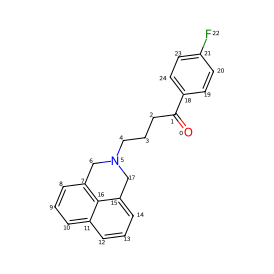 O=C(CCCN1Cc2cccc3cccc(c23)C1)c1ccc(F)cc1